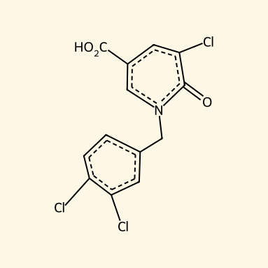 O=C(O)c1cc(Cl)c(=O)n(Cc2ccc(Cl)c(Cl)c2)c1